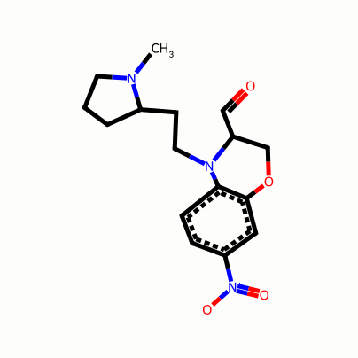 CN1CCCC1CCN1c2ccc([N+](=O)[O-])cc2OCC1C=O